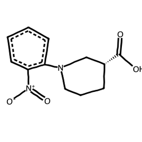 O=C(O)[C@@H]1CCCN(c2ccccc2[N+](=O)[O-])C1